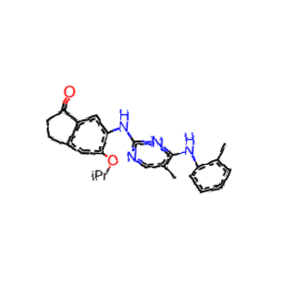 Cc1ccccc1Nc1nc(Nc2cc3c(cc2OC(C)C)CCC3=O)ncc1C